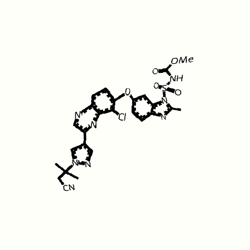 COC(=O)NS(=O)(=O)n1c(C)nc2ccc(Oc3ccc4ncc(-c5cnn(C(C)(C)CC#N)c5)nc4c3Cl)cc21